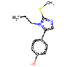 CCCn1c(-c2ccc(O)cc2)cnc1SC